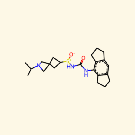 CC(C)N1CC2(CC([S+]([O-])NC(=O)Nc3c4c(cc5c3CCC5)CCC4)C2)C1